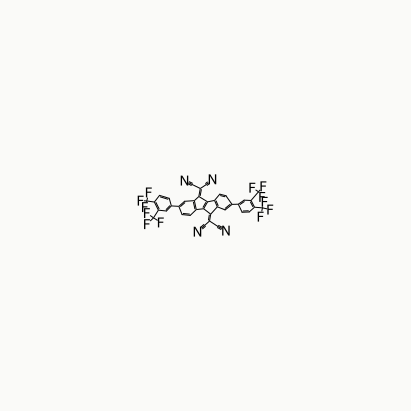 N#CC(C#N)=C1C2=C(C(=C(C#N)C#N)c3cc(-c4ccc(C(F)(F)F)c(C(F)(F)F)c4)ccc32)c2ccc(-c3ccc(C(F)(F)F)c(C(F)(F)F)c3)cc21